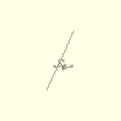 CCCCCCCCCCCCCCCCCC(=O)O[C@H](COC(=O)CCCCCCCCCCCCC)COP(=O)([O-])OCC[N+](C)(C)C